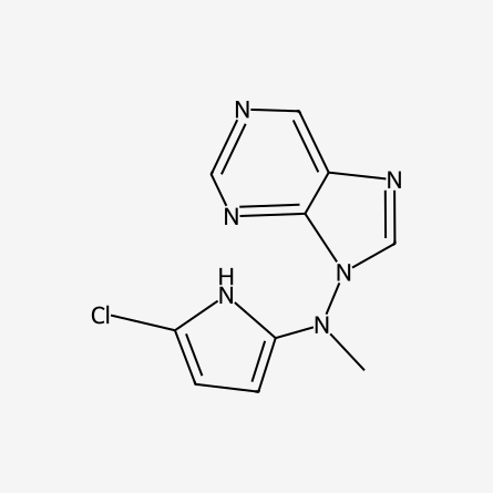 CN(c1ccc(Cl)[nH]1)n1cnc2cncnc21